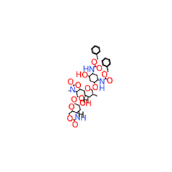 CC1C[C@@H]2OC(O[C@H]3OC4COC(=O)N[C@H]4CC3O)C3C(OC(=O)N3C)C2O[C@@H]1O[C@H]1CC(O)[C@H](NC(=O)OCc2ccccc2)CC1NC(=O)OCc1ccccc1